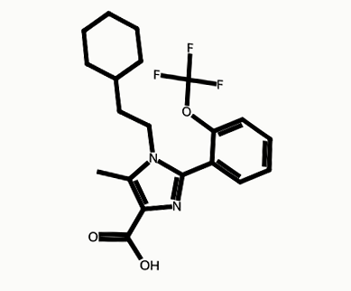 Cc1c(C(=O)O)nc(-c2ccccc2OC(F)(F)F)n1CCC1CCCCC1